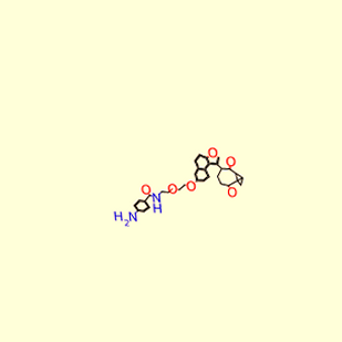 Nc1ccc(C(=O)NCCOCCOc2ccc3c(ccc4occ(C5CCC(=O)C67CC6C7C5=O)c43)c2)cc1